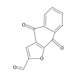 O=Cc1cc2c(o1)C(=O)c1ccccc1C2=O